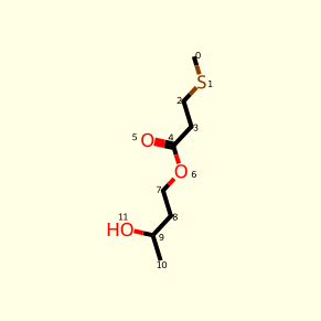 CSCCC(=O)OCCC(C)O